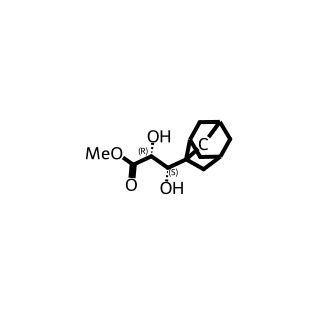 COC(=O)[C@H](O)[C@@H](O)C12CC3CC(CC1C3)C2